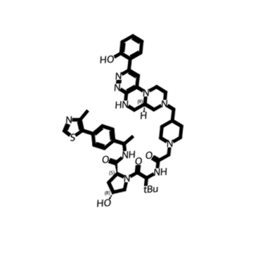 Cc1ncsc1-c1ccc(C(C)NC(=O)[C@@H]2C[C@@H](O)CN2C(=O)C(NC(=O)CN2CCC(CN3CCN4c5cc(-c6ccccc6O)nnc5NC[C@@H]4C3)CC2)C(C)(C)C)cc1